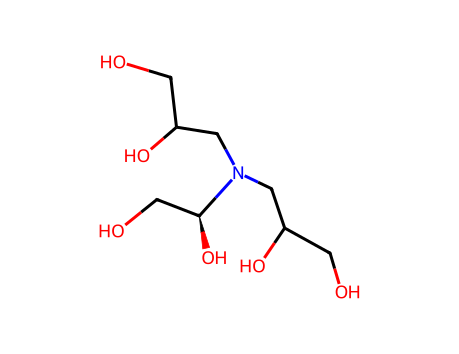 OCC(O)CN(CC(O)CO)[C@@H](O)CO